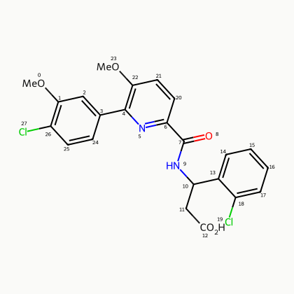 COc1cc(-c2nc(C(=O)NC(CC(=O)O)c3ccccc3Cl)ccc2OC)ccc1Cl